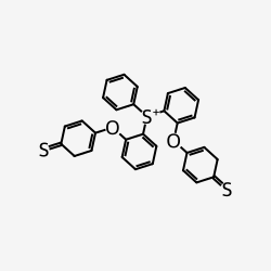 S=C1C=CC(Oc2ccccc2[S+](c2ccccc2)c2ccccc2OC2=CCC(=S)C=C2)=CC1